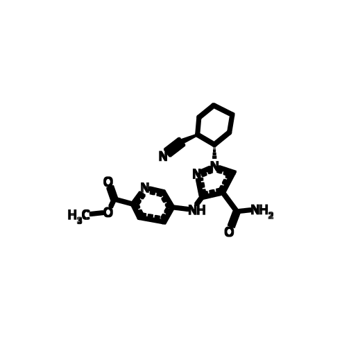 COC(=O)c1ccc(Nc2nn([C@H]3CCCC[C@@H]3C#N)cc2C(N)=O)cn1